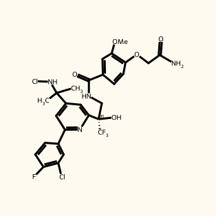 COc1cc(C(=O)NC[C@@](O)(c2cc(C(C)(C)NCl)cc(-c3ccc(F)c(Cl)c3)n2)C(F)(F)F)ccc1OCC(N)=O